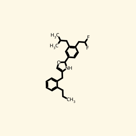 CCCc1ccccc1CC1=COC(c2ccc(CC(F)F)c(CC(C)C)c2)N1